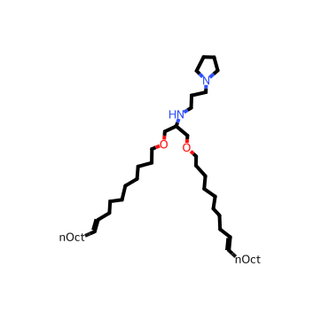 CCCCCCCCC=CCCCCCCCCOCC(COCCCCCCCCC=CCCCCCCCC)NCCCN1CCCC1